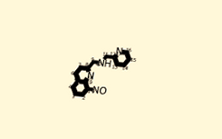 O=Nc1cccc2ccc(CNCc3ccccn3)nc12